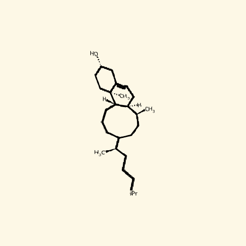 CC(C)CCC[C@@H](C)C1CCC[C@H]2[C@@H](CC=C3C[C@@H](O)CC[C@@]32C)[C@@H](C)CC1